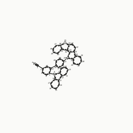 N#Cc1ccc(-n2c3ccccc3c3ccccc32)c(-c2ccc(-n3c4ccccc4c4ccc5oc6ccccc6c5c43)cc2)c1